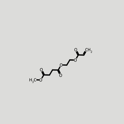 C=CC(=O)OCCOC(=O)CCC(=O)OC